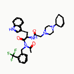 CC(=O)N(Cc1ccccc1C(F)(F)F)C(=O)C(Cc1c[nH]c2ccccc12)NC(=O)CN1CCN(C2CCCCC2)CC1